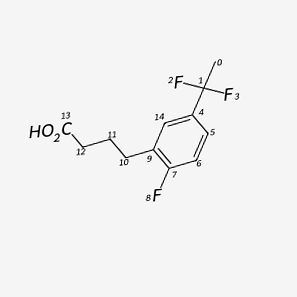 CC(F)(F)c1ccc(F)c(CCCC(=O)O)c1